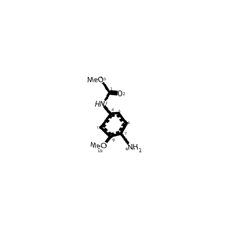 COC(=O)Nc1ccc(N)c(OC)c1